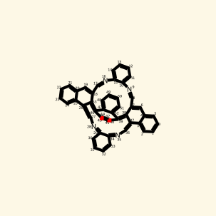 c1ccc2c(c1)cc1cnc3ccccc3ncc3cc4ccccc4c4cnc5ccccc5ncc2c1c1c2ccccc2c(c2ccccc21)c34